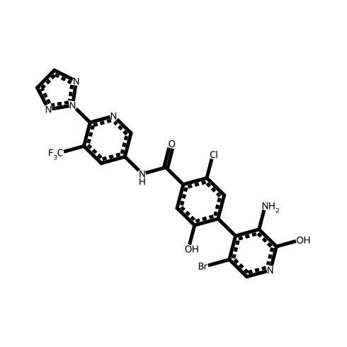 Nc1c(O)ncc(Br)c1-c1cc(Cl)c(C(=O)Nc2cnc(-n3nccn3)c(C(F)(F)F)c2)cc1O